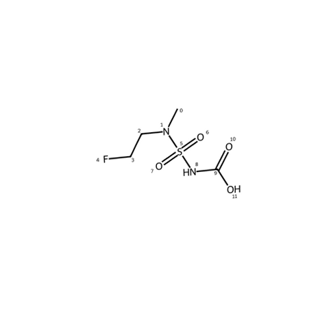 CN(CCF)S(=O)(=O)NC(=O)O